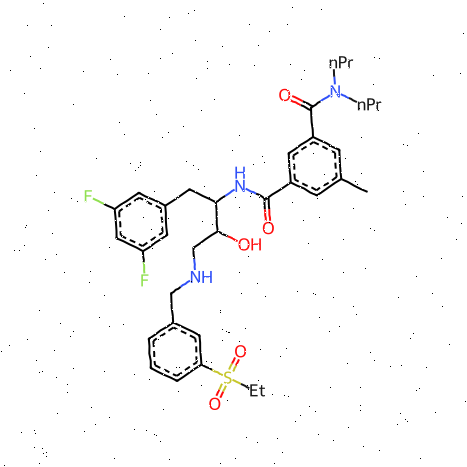 CCCN(CCC)C(=O)c1cc(C)cc(C(=O)NC(Cc2cc(F)cc(F)c2)C(O)CNCc2cccc(S(=O)(=O)CC)c2)c1